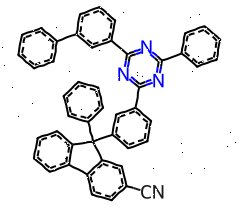 N#Cc1ccc2c(c1)C(c1ccccc1)(c1cccc(-c3nc(-c4ccccc4)nc(-c4cccc(-c5ccccc5)c4)n3)c1)c1ccccc1-2